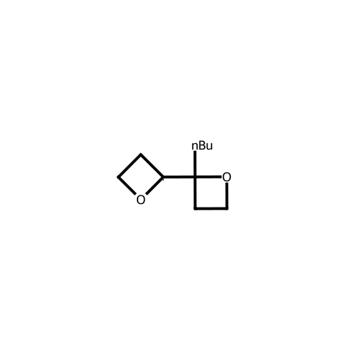 CCCCC1([C]2CCO2)CCO1